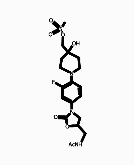 CC(=O)NCC1CN(c2ccc(N3CCC(O)(COS(C)(=O)=O)CC3)c(F)c2)C(=O)O1